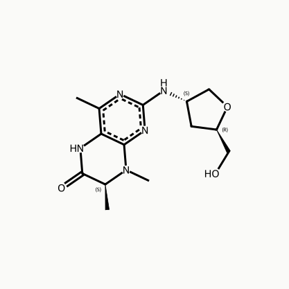 Cc1nc(N[C@@H]2CO[C@@H](CO)C2)nc2c1NC(=O)[C@H](C)N2C